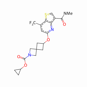 CNC(=O)c1csc2c(C(F)(F)F)cc(OC3CC4(C3)CN(C(=O)OC3CC3)C4)nc12